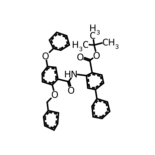 CC(C)(C)OC(=O)c1ccc(-c2ccccc2)cc1NC(=O)c1cc(Oc2ccccc2)ccc1OCc1ccccc1